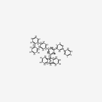 c1ccc(-c2cccc(-c3nc(-c4ccc5c6ccccc6c6ccccc6c5c4)nc(C45CCC(c6ccccc64)c4ccccc45)n3)c2)cc1